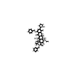 CCN[C@@H]1c2onc(OCc3ccccc3)c2C(=O)C2(O[Si](C)(C)C(C)(C)C)C(O)=C3C(=O)c4c(OCc5ccccc5)cc(C5CCCN5)c(F)c4C[C@H]3C[C@@H]12